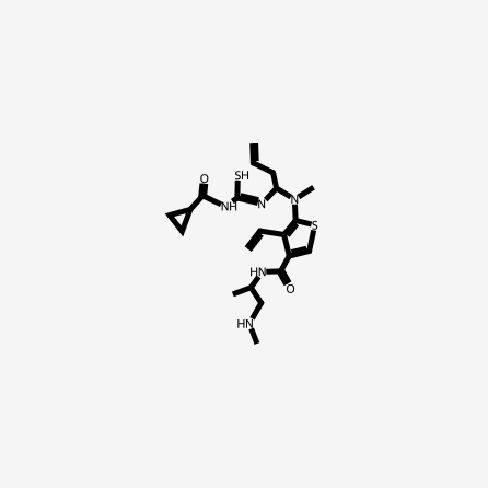 C=CCC(N=C(S)NC(=O)C1CC1)N(C)c1scc(C(=O)NC(C)CNC)c1C=C